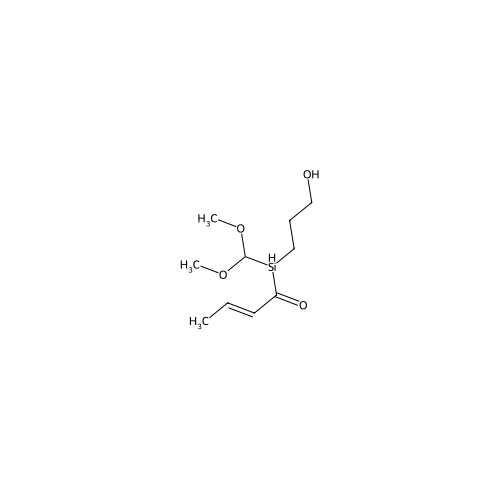 CC=CC(=O)[SiH](CCCO)C(OC)OC